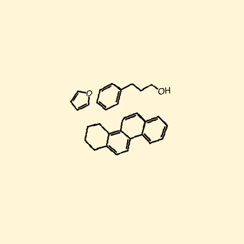 OCCCc1ccccc1.c1ccc2c(c1)ccc1c3c(ccc12)CCCC3.c1ccoc1